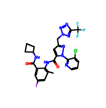 Cc1cc(I)cc(C(=O)NC2CCC2)c1NC(=O)c1cc(Cn2nnc(C(F)(F)F)n2)nn1-c1ncccc1Cl